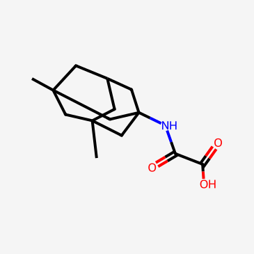 CC12CC3CC(C)(C1)CC(NC(=O)C(=O)O)(C3)C2